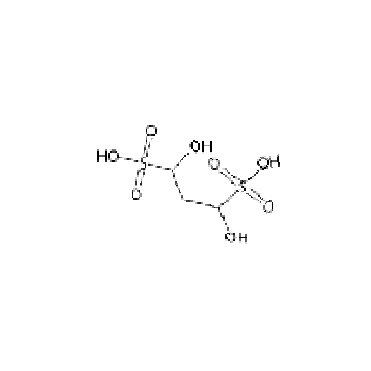 O=S(=O)(O)C(O)CC(O)S(=O)(=O)O